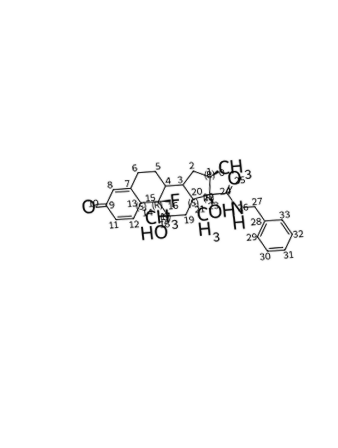 C[C@@H]1CC2C3CCC4=CC(=O)C=C[C@]4(C)[C@@]3(F)[C@@H](O)C[C@]2(C)[C@@]1(O)C(=O)NCc1ccccc1